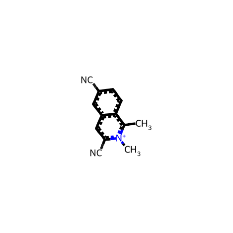 Cc1c2ccc(C#N)cc2cc(C#N)[n+]1C